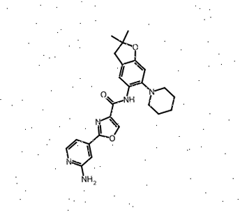 CC1(C)Cc2cc(NC(=O)c3coc(-c4ccnc(N)c4)n3)c(N3CCCCC3)cc2O1